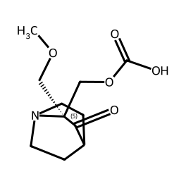 COC[C@]1(COC(=O)O)C(=O)C2CCN1CC2